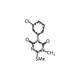 CSc1nc(=O)n(-c2cccc(Cl)c2)c(=O)n1C